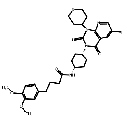 COc1ccc(CCCC(=O)N[C@H]2CC[C@@H](n3c(=O)c4cc(F)cnc4n(C4CCSCC4)c3=O)CC2)cc1OC